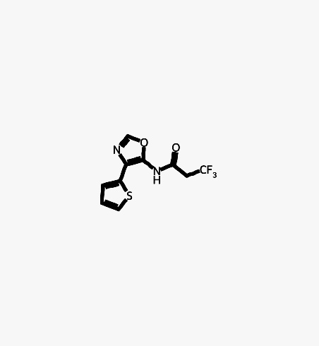 O=C(CC(F)(F)F)Nc1ocnc1-c1cccs1